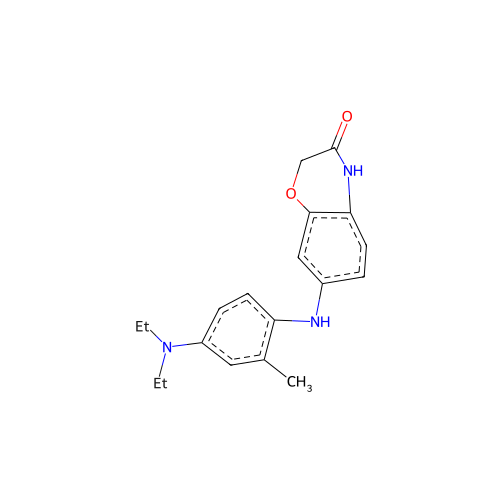 CCN(CC)c1ccc(Nc2ccc3c(c2)OCC(=O)N3)c(C)c1